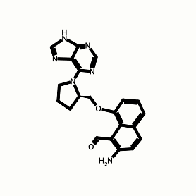 Nc1ccc2cccc(OC[C@H]3CCCN3c3ncnc4[nH]cnc34)c2c1C=O